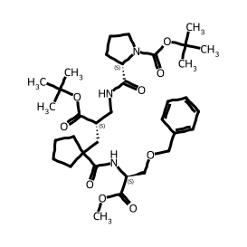 COC(=O)[C@H](COCc1ccccc1)NC(=O)C1(C[C@@H](CNC(=O)[C@@H]2CCCN2C(=O)OC(C)(C)C)C(=O)OC(C)(C)C)CCCC1